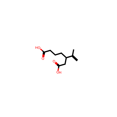 C=C(C)C(CCCC(=O)O)CC(=O)O